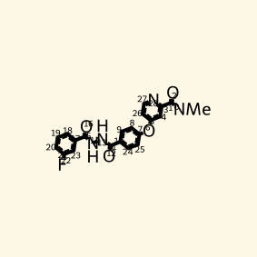 CNC(=O)c1cc(Oc2ccc(C(=O)NNC(=O)c3cccc(F)c3)cc2)ccn1